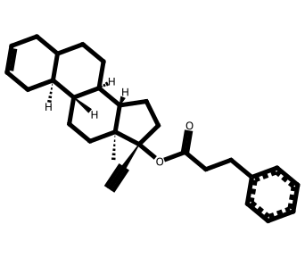 C#C[C@]1(OC(=O)CCc2ccccc2)CC[C@H]2[C@@H]3CCC4CC=CC[C@@H]4[C@H]3CC[C@@]21C